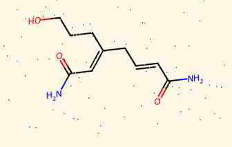 NC(=O)C=CCC(=CC(N)=O)CCCO